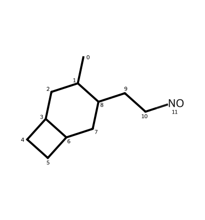 CC1CC2CCC2CC1CCN=O